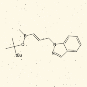 CB(/C=C/Cn1ncc2ccccc21)OC(C)(C)C(C)(C)C